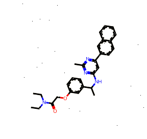 CCN(CC)C(=O)COc1cccc(C(C)Nc2cc(-c3ccc4ccccc4c3)nc(C)n2)c1